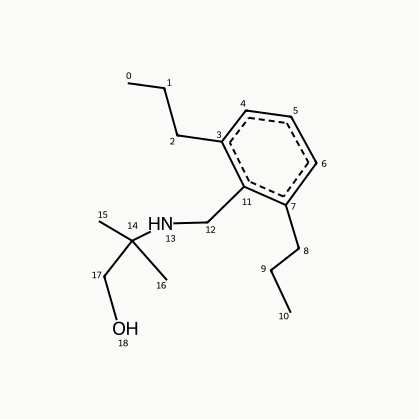 CCCc1cccc(CCC)c1CNC(C)(C)CO